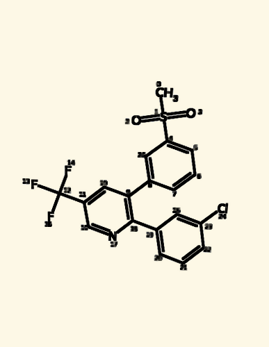 CS(=O)(=O)c1cccc(-c2cc(C(F)(F)F)cnc2-c2cccc(Cl)c2)c1